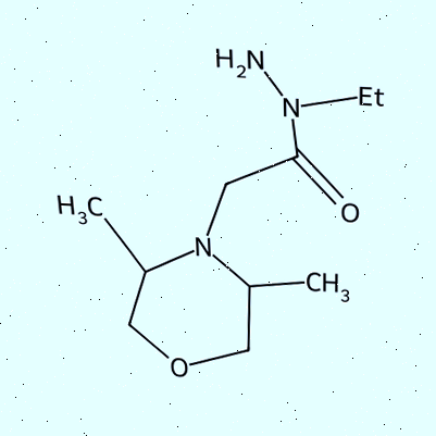 CCN(N)C(=O)CN1C(C)COCC1C